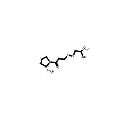 NC(CSSCCC(=O)N1CCC[C@H]1C(=O)O)C(=O)O